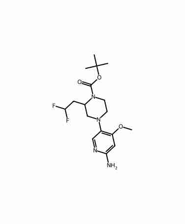 COc1cc(N)ncc1N1CCN(C(=O)OC(C)(C)C)C(CC(F)F)C1